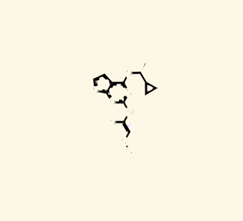 C[C@H](Nc1nc(N/C(N)=C/NN)nc2[nH]ccc12)C1CC1